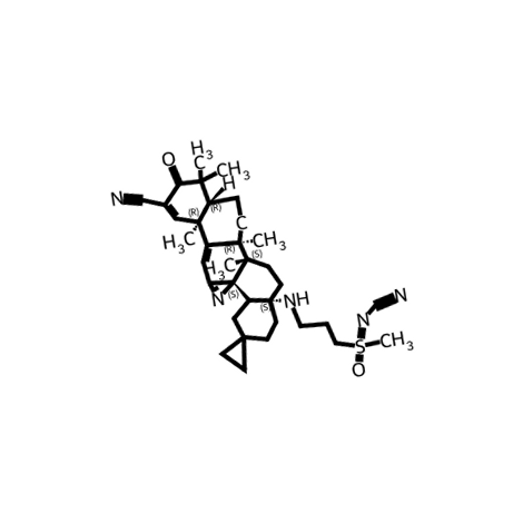 CC1(C)C(=O)C(C#N)=C[C@]2(C)C3=CC4=N[C@]45C4CC6(CC6)CC[C@]4(NCCCS(C)(=O)=NC#N)CC[C@@]5(C)[C@]3(C)CC[C@@H]12